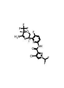 C[C@@]1(c2nc(NC(=O)c3nn(C(F)F)cc3Cl)ccc2F)CO[C@@](C)(C(F)(F)F)C(N)=N1